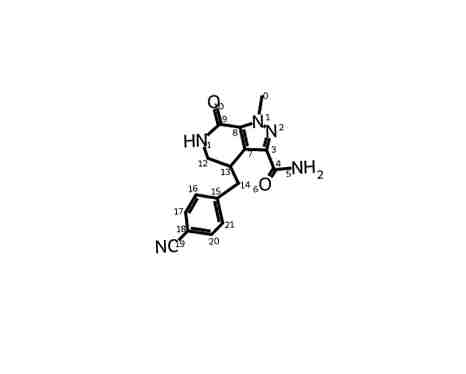 Cn1nc(C(N)=O)c2c1C(=O)NCC2Cc1ccc(C#N)cc1